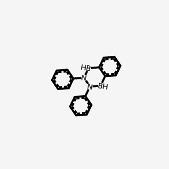 B1c2ccccc2BN(c2ccccc2)N1c1ccccc1